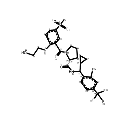 CS(=O)(=O)c1ccc(NCCO)c(C(=O)N2CCC[C@@H]2C(=O)NC(c2ccc(C(F)(F)F)cc2F)C2CC2)c1